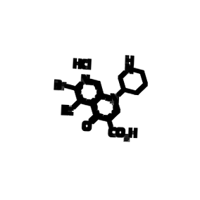 CCc1c(Br)ncc2c1c(=O)c(C(=O)O)cn2C1CCCNC1.Cl